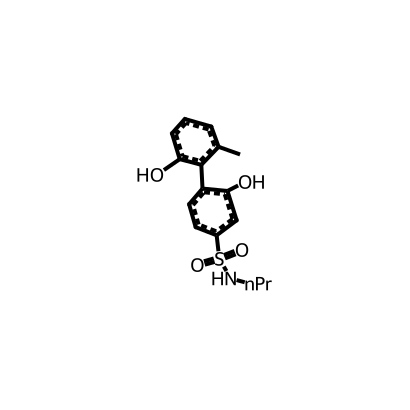 CCCNS(=O)(=O)c1ccc(-c2c(C)cccc2O)c(O)c1